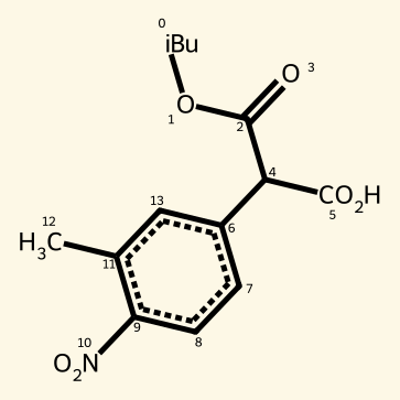 CCC(C)OC(=O)C(C(=O)O)c1ccc([N+](=O)[O-])c(C)c1